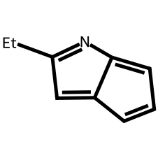 CCC1=NC2=CC=CC2=C1